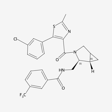 Cc1nc(C(=O)N2CC3C[C@@H]3[C@H]2CNC(=O)c2cccc(C(F)(F)F)c2)c(-c2cccc(Cl)c2)s1